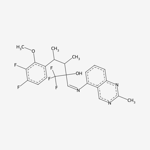 COc1c(C(C)C(C)C(O)(/C=N\c2cccc3nc(C)ncc23)C(F)(F)F)ccc(F)c1F